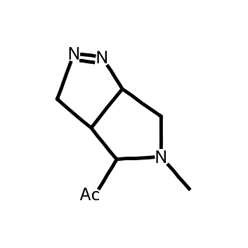 CC(=O)C1C2CN=NC2CN1C